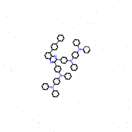 C1=CCCC(N(c2ccccc2)c2ccc(N(c3ccccc3)c3ccc(-c4nc5c(-c6ccc(-c7ccccc7)cc6)cccc5nc4-c4ccc(N(c5ccccc5)c5ccc(N(c6ccccc6)c6ccccc6)cc5)cc4)cc3)cc2)=C1